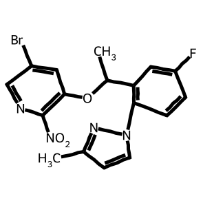 Cc1ccn(-c2ccc(F)cc2C(C)Oc2cc(Br)cnc2[N+](=O)[O-])n1